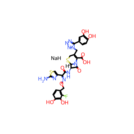 Nc1nc(C(=NOCc2ccc(O)c(O)c2F)C(=O)N[C@@H]2C(=O)N3C(C(=O)O)=C(Cn4nnnc4-c4ccc(O)c(O)c4)CS[C@H]23)cs1.[NaH]